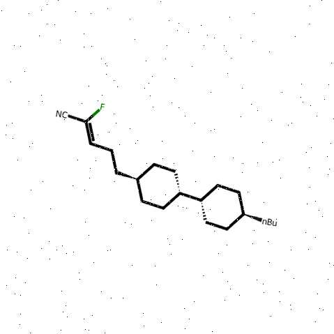 CCCC[C@H]1CC[C@H]([C@H]2CC[C@H](CCC=C(F)C#N)CC2)CC1